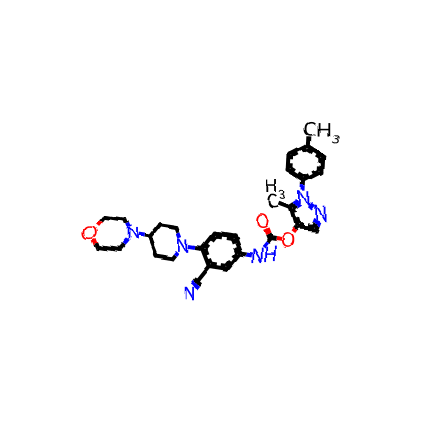 Cc1ccc(-n2ncc(OC(=O)Nc3ccc(N4CCC(N5CCOCC5)CC4)c(C#N)c3)c2C)cc1